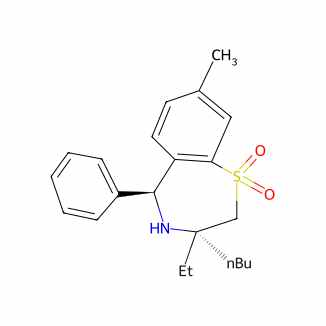 CCCC[C@@]1(CC)CS(=O)(=O)c2cc(C)ccc2[C@H](c2ccccc2)N1